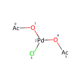 CC(=O)[O][Pd]([Cl])[O]C(C)=O